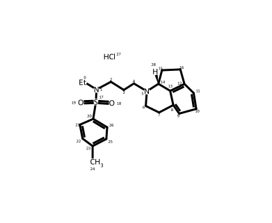 CCN(CCCN1CCc2cccc3c2[C@H]1CC3)S(=O)(=O)c1ccc(C)cc1.Cl